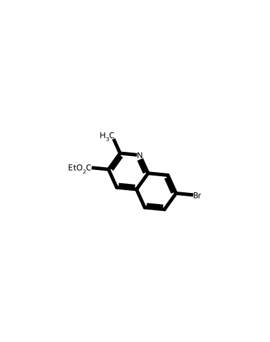 CCOC(=O)c1cc2ccc(Br)cc2nc1C